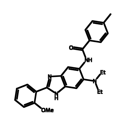 CCN(CC)c1cc2[nH]c(-c3ccccc3OC)nc2cc1NC(=O)c1ccc(C)cc1